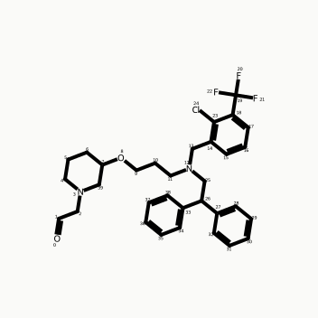 O=CCN1CCCC(OCCCN(Cc2cccc(C(F)(F)F)c2Cl)CC(c2ccccc2)c2ccccc2)C1